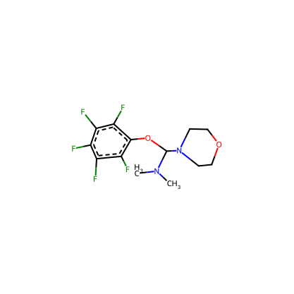 CN(C)C(Oc1c(F)c(F)c(F)c(F)c1F)N1CCOCC1